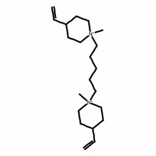 C=CC1CC[N+](C)(CCCCC[N+]2(C)CCC(C=C)CC2)CC1